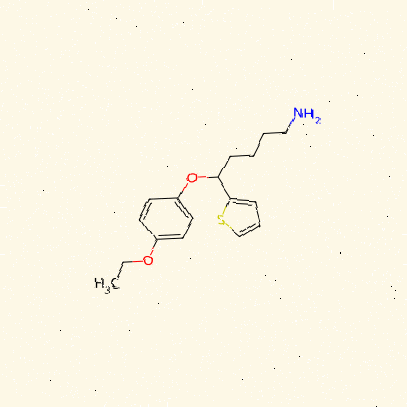 CCOc1ccc(OC(CCCCN)c2cccs2)cc1